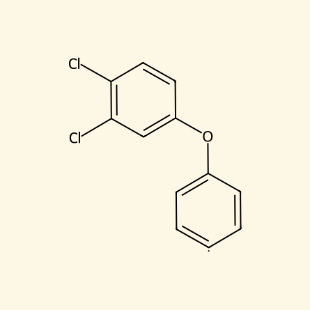 Clc1ccc(Oc2cc[c]cc2)cc1Cl